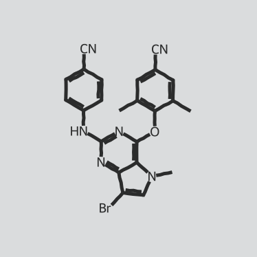 Cc1cc(C#N)cc(C)c1Oc1nc(Nc2ccc(C#N)cc2)nc2c(Br)cn(C)c12